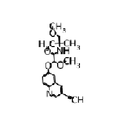 C#Cc1cnc2ccc(OC(OC)C(=O)NC(C)(C)COC)cc2c1